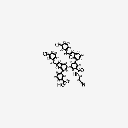 N#CCCNC(=O)c1cccc(-c2cccc3cc(Cc4cccc(Cl)c4)oc23)c1.O=C(O)c1cccc(-c2cccc3cc(Cc4cccc(Cl)c4)oc23)c1